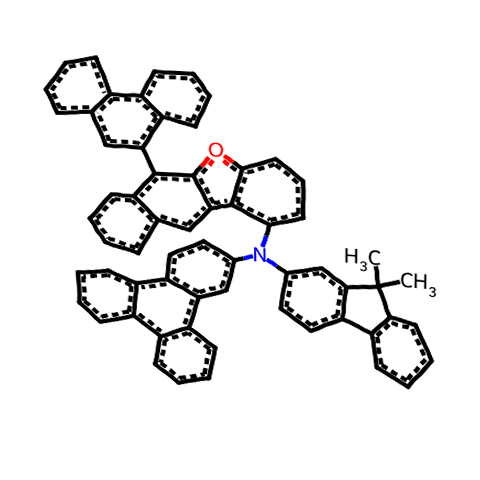 CC1(C)c2ccccc2-c2ccc(N(c3ccc4c5ccccc5c5ccccc5c4c3)c3cccc4oc5c(-c6cc7ccccc7c7ccccc67)c6ccccc6cc5c34)cc21